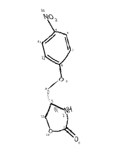 O=C1N[C@@H](COc2ccc([N+](=O)[O-])cc2)CO1